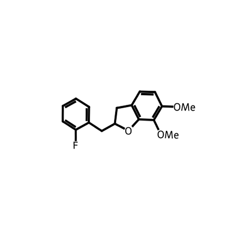 COc1ccc2c(c1OC)OC(Cc1ccccc1F)C2